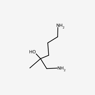 CC(O)(CN)CCCN